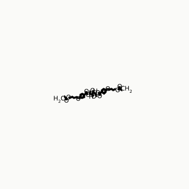 C=CC(=O)OCCCCOc1ccc(C(=O)O[C@@H]2CO[C@@H]3[C@H]2OC[C@H]3OC(=O)c2ccc(OCCCCOC(=O)C=C)cc2)cc1